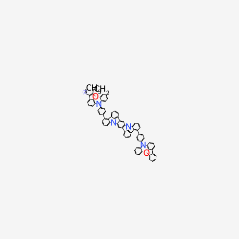 C=Cc1oc2c(N(c3ccccc3)c3ccc(-c4cccc5c4c4cccc6c7cc8c(cc7n5c64)c4cccc5c6c(-c7ccc(N(c9ccccc9)c9cccc%10c9oc9ccccc9%10)cc7)cccc6n8c45)cc3)cccc2c1/C=C\C